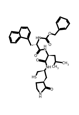 CC(C)C[C@H](NC(=O)[C@H](Cc1cccc2ccccc12)NC(=O)OCc1ccccc1)C(=O)N[C@H](CS)C[C@@H]1CCNC1=O